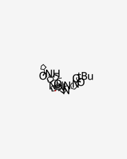 Cc1ccc2c(NC(=O)C3CCCC3)cccc2c1Oc1ncccc1-c1ccnc(NC2CCCN(C(=O)OC(C)(C)C)C2)n1